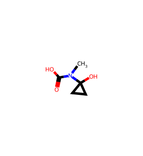 CN(C(=O)O)C1(O)CC1